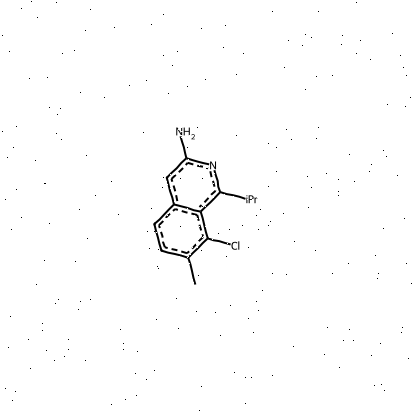 Cc1ccc2cc(N)nc(C(C)C)c2c1Cl